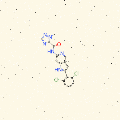 Cn1ncnc1C(=O)Nc1cc2[nH]c(-c3c(Cl)cccc3Cl)cc2cn1